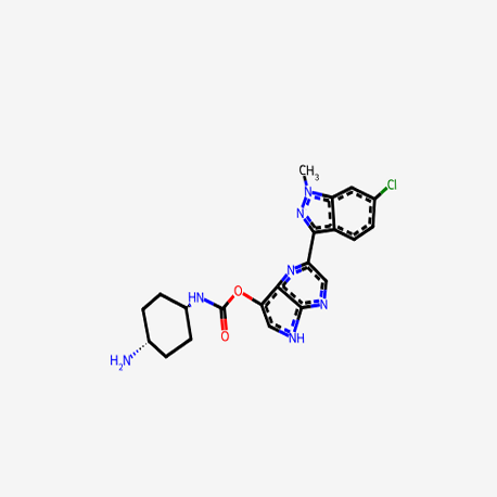 Cn1nc(-c2cnc3[nH]cc(OC(=O)N[C@H]4CC[C@@H](N)CC4)c3n2)c2ccc(Cl)cc21